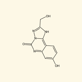 O=c1nc2cc(O)ccc2c2[nH]c(CO)nn12